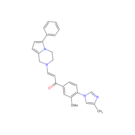 COc1cc(C(=O)/C=C/N2CCn3c(ccc3-c3ccccc3)C2)ccc1-n1cnc(C)c1